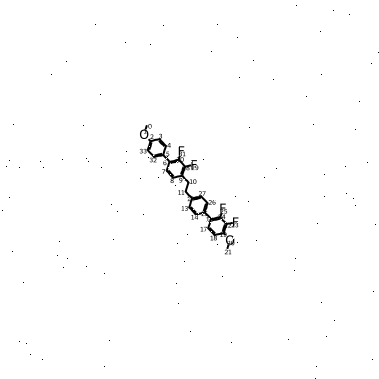 COc1ccc(-c2ccc(CCc3ccc(-c4ccc(OC)c(F)c4F)cc3)c(F)c2F)cc1